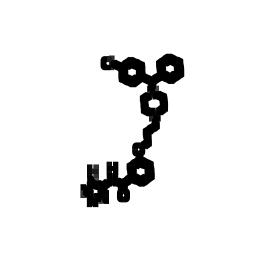 O=C(Nc1nnn[nH]1)c1cccc(OCCCN2CCN(C(c3ccccc3)c3ccc(Cl)cc3)CC2)c1